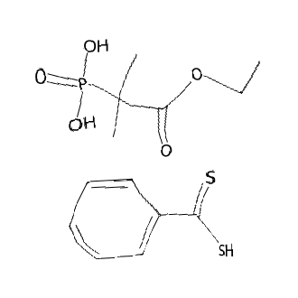 CCOC(=O)C(C)(C)P(=O)(O)O.S=C(S)c1ccccc1